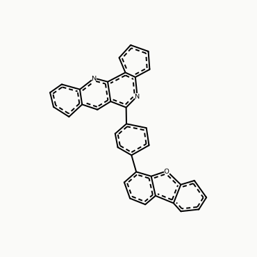 c1ccc2nc3c(cc2c1)c(-c1ccc(-c2cccc4c2oc2ccccc24)cc1)nc1ccccc13